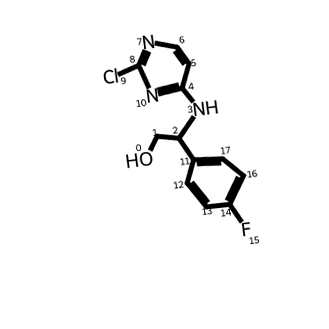 OCC(Nc1ccnc(Cl)n1)c1ccc(F)cc1